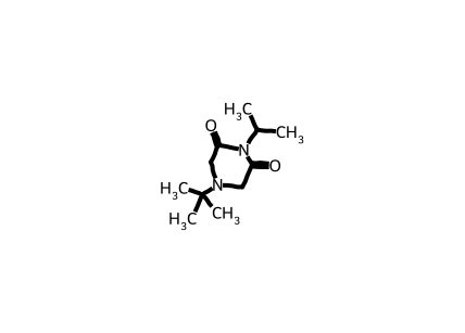 CC(C)N1C(=O)CN(C(C)(C)C)CC1=O